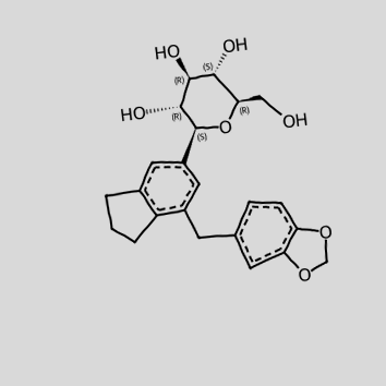 OC[C@H]1O[C@@H](c2cc3c(c(Cc4ccc5c(c4)OCO5)c2)CCC3)[C@H](O)[C@@H](O)[C@@H]1O